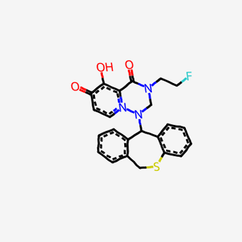 O=C1c2c(O)c(=O)ccn2N(C2c3ccccc3CSc3ccccc32)CN1CCF